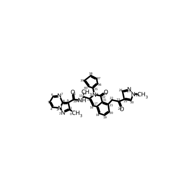 Cc1nn2cccnc2c1C(=O)N[C@H](C)c1cc2cccc(CC(=O)c3cnn(C)c3)c2c(=O)n1-c1ccccc1